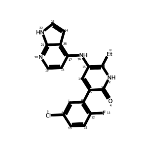 CCc1[nH]c(=O)c(-c2cc(Cl)ccc2F)cc1Nc1ccnc2[nH]ccc12